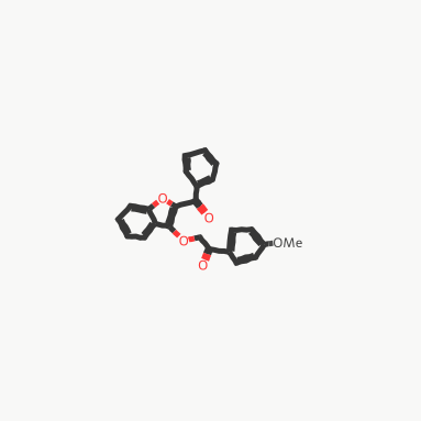 COc1ccc(C(=O)COc2c(C(=O)c3ccccc3)oc3ccccc23)cc1